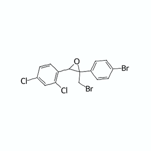 Clc1ccc(C2OC2(CBr)c2ccc(Br)cc2)c(Cl)c1